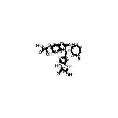 CN1CCCC(Nc2nc3cccnc3n2Cc2ccco2)CC1.O=C(O)C(=O)O.O=C(O)C(=O)O